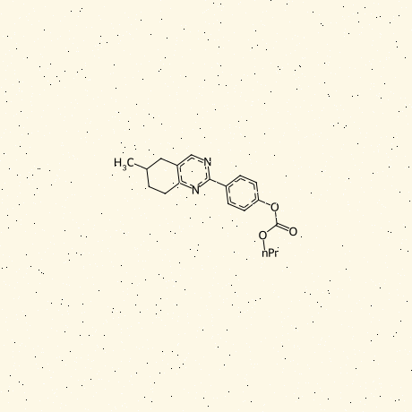 CCCOC(=O)Oc1ccc(-c2ncc3c(n2)CCC(C)C3)cc1